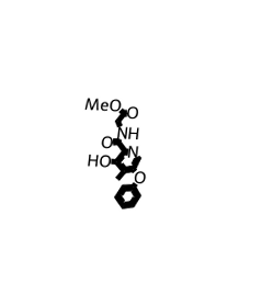 COC(=O)CNC(=O)c1ncc(Oc2ccccc2)c(C)c1O